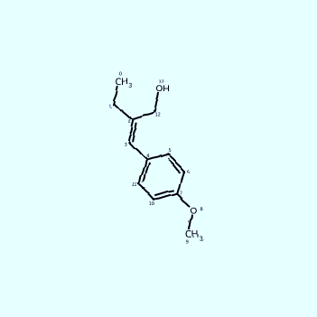 CCC(=Cc1ccc(OC)cc1)CO